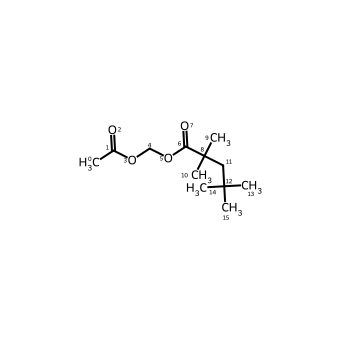 CC(=O)OCOC(=O)C(C)(C)CC(C)(C)C